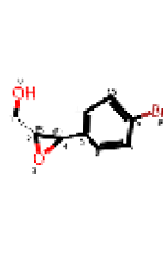 OC[C@H]1O[C@@H]1c1ccc(Br)cc1